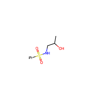 CC(O)CNS(=O)(=O)C(C)C